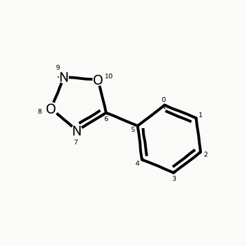 [c]1ccccc1C1=NO[N]O1